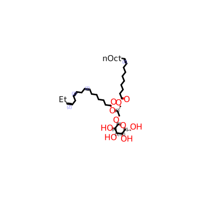 CC/C=C\C/C=C\C/C=C\CCCCCC(=O)O[C@H](COC(=O)CCCCCCC/C=C\CCCCCCCC)CO[C@@H]1O[C@H](CO)[C@H](O)[C@H](O)[C@H]1O